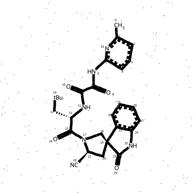 Cc1cccc(NC(=O)C(=O)N[C@@H](CC(C)(C)C)C(=O)N2C[C@]3(C[C@H]2C#N)C(=O)Nc2ccccc23)n1